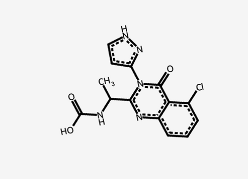 CC(NC(=O)O)c1nc2cccc(Cl)c2c(=O)n1-c1cc[nH]n1